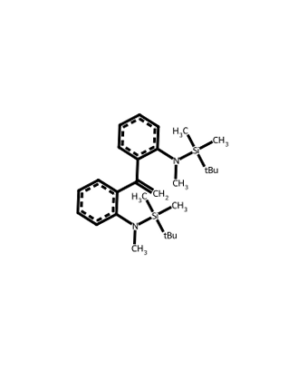 C=C(c1ccccc1N(C)[Si](C)(C)C(C)(C)C)c1ccccc1N(C)[Si](C)(C)C(C)(C)C